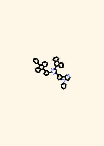 c1ccc(-c2c3ccccc3c(-c3cccc(-c4nc(-c5ccc6c(c5)c5cnccc5n6-c5ccccc5)cc(-c5cc6ccccc6c6ccccc56)n4)c3)c3ccccc23)cc1